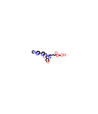 O=C(/C=C/c1cc(N(Cc2ccc(-c3ccc(N4CCCC4)nc3)nc2)C(=O)C2CCOCC2)ns1)OCCO